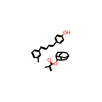 C=C(C)C(=O)OC1C2CC3CC(C2)CC1C3.Cc1cccc(C=CC=Cc2ccc(O)cc2)c1